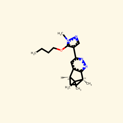 CCCCOc1c(-c2cc3c(nn2)[C@@]2(C)CC[C@@H]3C2(C)C)cnn1C